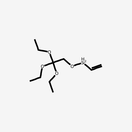 C=C[SiH2]OCC(OCC)(OCC)OCC